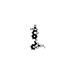 CC(=O)OC(COc1ccc(CC2NC(=O)SC2=O)cc1)c1ccccn1